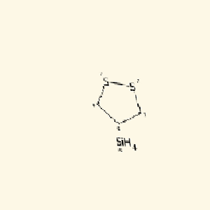 C1CSSC1.[SiH4]